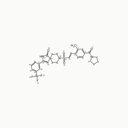 Cc1cc(C(=O)N2CCCC2)ccc1C=CS(=O)(=O)N1CCC2(CC1)N=C(c1cccc(C(F)(F)F)c1)NC2=O